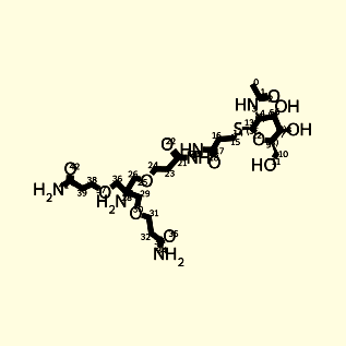 CC(=O)N[C@@H]1[C@@H](O)[C@@H](O)[C@@H](CO)O[C@H]1SCCC(=O)NNC(=O)CCOCC(N)(COCCC(N)=O)COCCC(N)=O